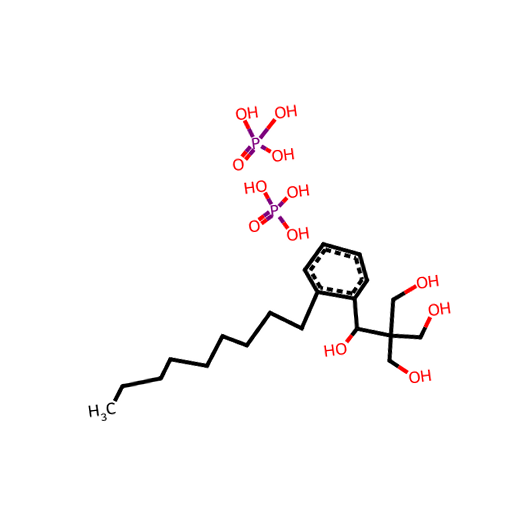 CCCCCCCCCc1ccccc1C(O)C(CO)(CO)CO.O=P(O)(O)O.O=P(O)(O)O